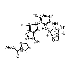 [2H][C@H]1[C@@H](Nc2ncc(Cl)c(-c3cc(F)c4nc([C@@H]5CCN(C(=O)OC)C5)n(C(C)C)c4c3)n2)[C@H](O)[C@@H]2OC[C@H]1O2